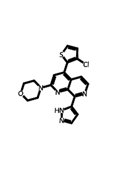 Clc1ccsc1-c1cc(N2CCOCC2)nc2c(-c3ccn[nH]3)nccc12